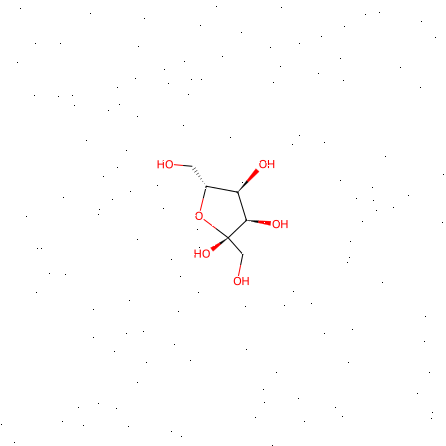 OC[C@H]1O[C@@](O)(CO)[C@H](O)[C@@H]1O